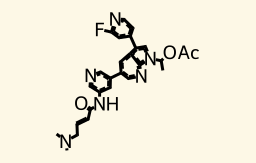 CC(=O)OC(C)n1cc(-c2ccnc(F)c2)c2cc(-c3cncc(NC(=O)C=CCN(C)C)c3)cnc21